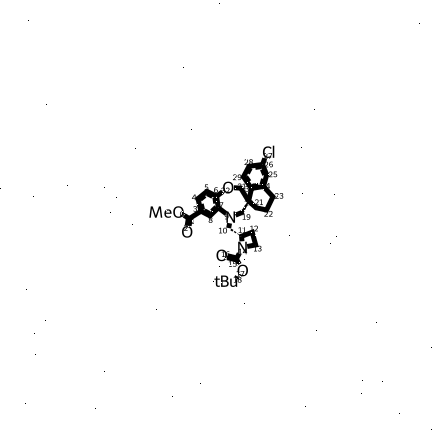 COC(=O)c1ccc2c(c1)N(C[C@@H]1CCN1C(=O)OC(C)(C)C)C[C@@]1(CCCc3cc(Cl)ccc31)CO2